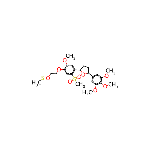 COc1cc(C2CCC(c3cc(OC)c(OC)c(OC)c3)O2)c(S(C)(=O)=O)cc1OCCOSC